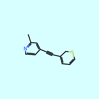 Cc1cc(C#CC2=CC=CSC2)ccn1